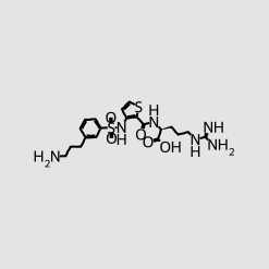 N=C(N)NCCC[C@H](NC(=O)c1sccc1NS(=O)(=O)c1cccc(CCCN)c1)C(=O)O